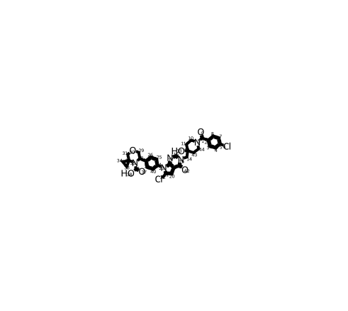 O=C(c1ccc(Cl)cc1)N1CCC(O)(Cn2cnc3c(cc(Cl)n3-c3ccc(C4COCC5(CC5)N4C(=O)O)cc3)c2=O)CC1